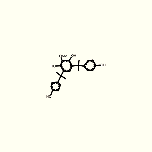 COc1c(O)c(C(C)(C)c2ccc(O)cc2)cc(C(C)(C)c2ccc(O)cc2)c1O